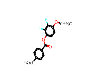 CCCCCCCCc1ccc(C(=O)Oc2ccc(OCCCCCCC)c(F)c2F)cc1